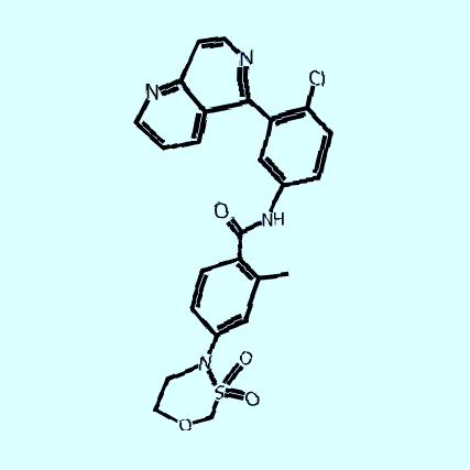 Cc1cc(N2CCOCS2(=O)=O)ccc1C(=O)Nc1ccc(Cl)c(-c2nccc3ncccc23)c1